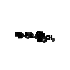 Cc1cccc(S(=O)(=O)N2CC(Cn3ccc4nc(-c5cn[nH]c5)ccc43)CC2(C)C)c1